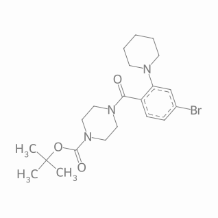 CC(C)(C)OC(=O)N1CCN(C(=O)c2ccc(Br)cc2N2CCCCC2)CC1